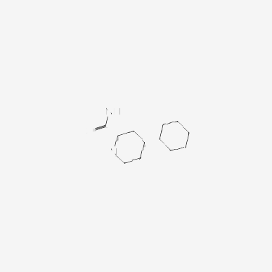 NC(=O)[C@@H]1C[C@H](C2CCCCC2)CCN1